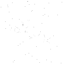 CO/N=C(\C(=O)N[C@@H]1C(=O)N2C(C(=O)O)=C(C=C3CCN(CC(F)(F)F)C3=O)CS[C@H]12)c1nsc(N)n1